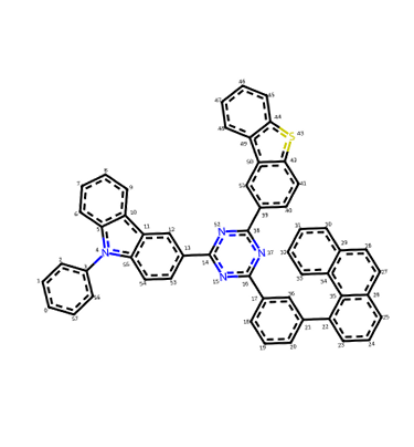 c1ccc(-n2c3ccccc3c3cc(-c4nc(-c5cccc(-c6cccc7ccc8ccccc8c67)c5)nc(-c5ccc6sc7ccccc7c6c5)n4)ccc32)cc1